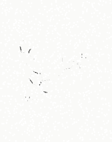 COC(=O)c1ccc(OCc2ccsc2)cc1OCOCC[Si](C)(C)C